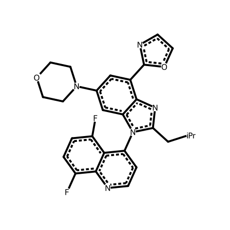 CC(C)Cc1nc2c(-c3ncco3)cc(N3CCOCC3)cc2n1-c1ccnc2c(F)ccc(F)c12